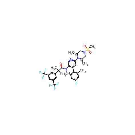 Cc1cc(F)ccc1-c1cc(N2[C@H](C)CN(S(C)(=O)=O)C[C@@H]2C)ncc1N(C)C(=O)C(C)(C)c1cc(C(F)(F)F)cc(C(F)(F)F)c1